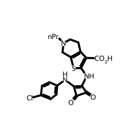 CCCN1CCc2c(sc(Nc3c(Nc4ccc(Cl)cc4)c(=O)c3=O)c2C(=O)O)C1